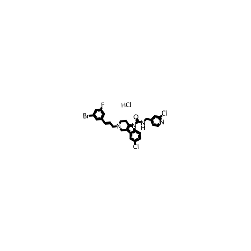 Cl.O=C(NCc1ccnc(Cl)c1)n1c2c(c3cc(Cl)ccc31)CN(C/C=C/c1cc(F)cc(Br)c1)CC2